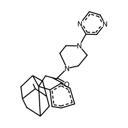 CC1C2CC3CC1CC(C2)C3(CC(=O)N1CCN(c2cnccn2)CC1)c1ccccc1